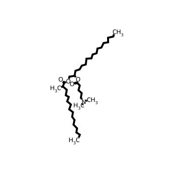 CCCCCCCCCCCCCCCC(COC(=O)C(C)CCCCCCCCCCCCCC)OC(=O)CCCCN(C)C